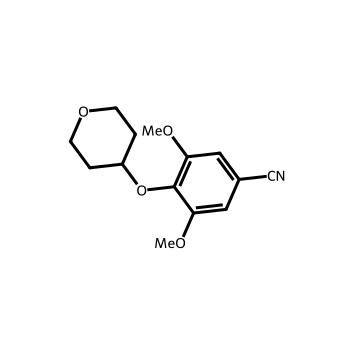 COc1cc(C#N)cc(OC)c1OC1CCOCC1